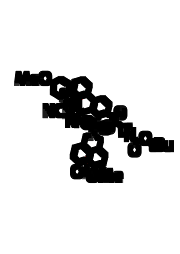 COc1ccc(CN(Cc2ccc(OC)cc2)S(=O)(=O)c2c(S(=O)(=O)C3CN(C(=O)OC(C)(C)C)C3)ccc(-c3cccc4sc(C#N)nc34)c2-c2nnnn2Cc2ccc(OC)cc2)cc1